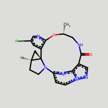 C[C@@H]1CNC(=O)c2cnn3ccc(nc23)N2CC[C@H]3C[C@]32c2cc(F)cnc2O1